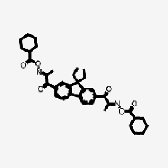 CCC1(CC)c2cc(C(=O)/C(C)=N/OC(=O)C3CCCCC3)ccc2-c2ccc(C(=O)/C(C)=N/OC(=O)C3CCCCC3)cc21